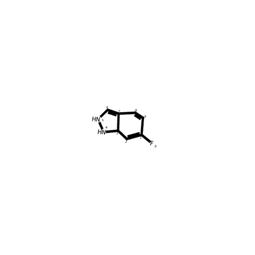 FC1=CC2NNC=C2C=C1